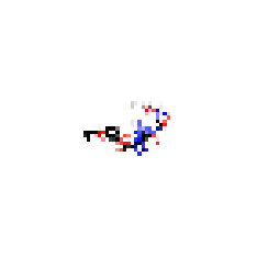 CC(C)(C)OC(=O)N1CCOC(CNC(=O)c2c[nH]c3c(C4=COC(c5cccc(OCC6CC6)c5)O4)ncnc23)C1